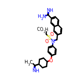 CC(=N)C1CCC(Oc2ccc(N(Cc3ccc4ccc(C(=N)N)cc4c3)S(=O)(=O)CC(=O)O)cc2)CC1